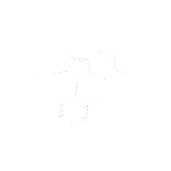 Cn1c(C(=O)O)c(-c2ccccc2F)c2cc(Cl)ccc21